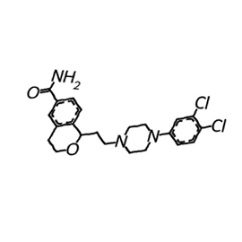 NC(=O)c1ccc2c(c1)CCOC2CCN1CCN(c2ccc(Cl)c(Cl)c2)CC1